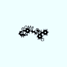 COc1cc2c(cc1OCCCn1c(=O)nc(-c3ccccc3)c3cc(Cl)ccc31)N=C[C@@H]1CCCN1C2=O